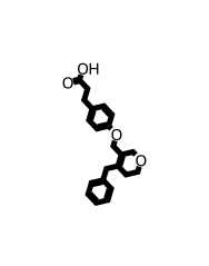 O=C(O)CCc1ccc(OCC2=C(Cc3ccccc3)CCOC2)cc1